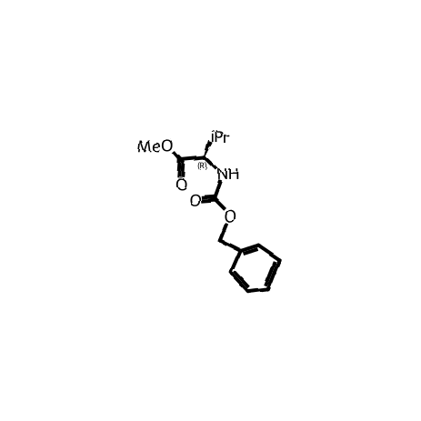 COC(=O)[C@H](NC(=O)OCc1ccccc1)C(C)C